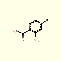 NC(=S)c1ccc(Br)cc1C(F)(F)F